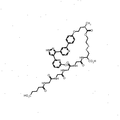 Cc1cccc(-c2c[nH]nc2-c2ccnc(-c3ccc(OCCN(C)C(=O)OCCSSCC(NC(=O)CNC(=O)CNC(=O)CNC(=O)CNC(=O)CCCC(=O)O)C(=O)O)cc3)c2)n1